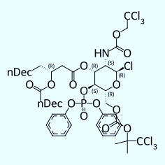 CCCCCCCCCCC[C@H](CC(=O)O[C@@H]1[C@H](NC(=O)OCC(Cl)(Cl)Cl)[C@@H](Cl)O[C@H](COC(=O)OC(C)(C)C(Cl)(Cl)Cl)[C@H]1OP(=O)(Oc1ccccc1)Oc1ccccc1)OC(=O)CCCCCCCCCC